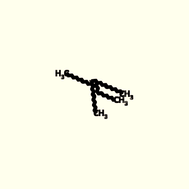 CCCCCC/C=C/CCc1[c]cc(CC/C=C/CCCCCC)c(CC/C=C/CCCCCC)c1CC/C=C/CCCCCC